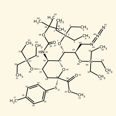 CC[Si](CC)(CC)O[C@@H]([C@@H]1O[C@@](Sc2ccc(C)cc2)(C(=O)OC)C[C@H](O[Si](CC)(CC)CC)[C@H]1NC(=O)OC(C)(C)C)[C@@H](CN=[N+]=[N-])O[Si](CC)(CC)CC